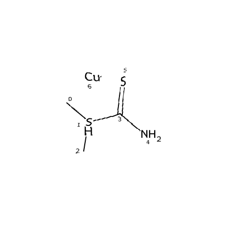 C[SH](C)C(N)=S.[Cu]